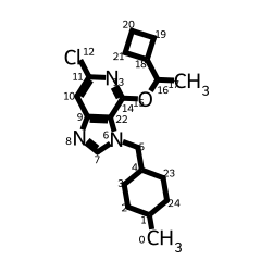 CC1CCC(Cn2cnc3cc(Cl)nc(OC(C)C4CCC4)c32)CC1